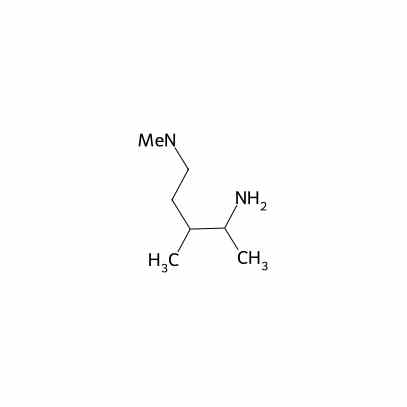 CNCCC(C)C(C)N